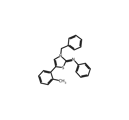 Cc1ccccc1-c1cn(Cc2ccccc2)c(=Nc2ccccc2)s1